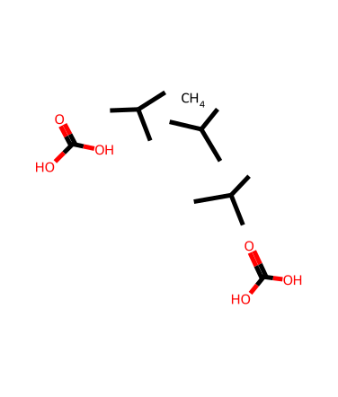 C.CC(C)C.CC(C)C.CC(C)C.O=C(O)O.O=C(O)O